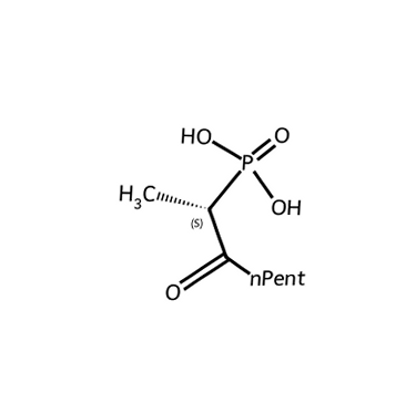 CCCCCC(=O)[C@H](C)P(=O)(O)O